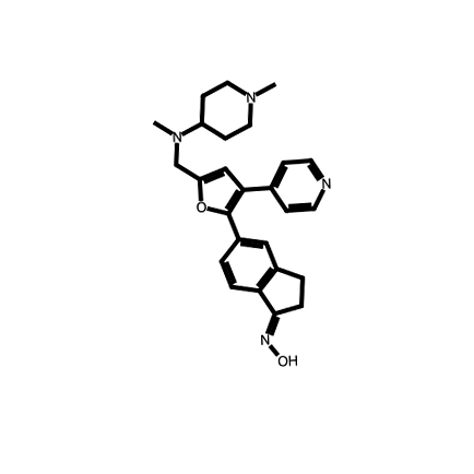 CN1CCC(N(C)Cc2cc(-c3ccncc3)c(-c3ccc4c(c3)CCC4=NO)o2)CC1